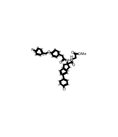 COC(=O)CNC(=O)C1(NC(=O)Cc2ccc(OCc3ccc(F)cc3)cc2)Cc2ccc(-c3ccc(Cl)cc3)cc2C1